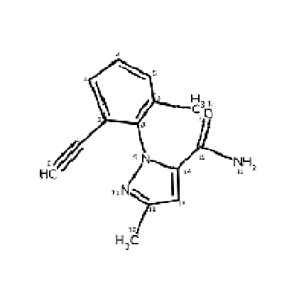 C#Cc1cccc(C)c1-n1nc(C)cc1C(N)=O